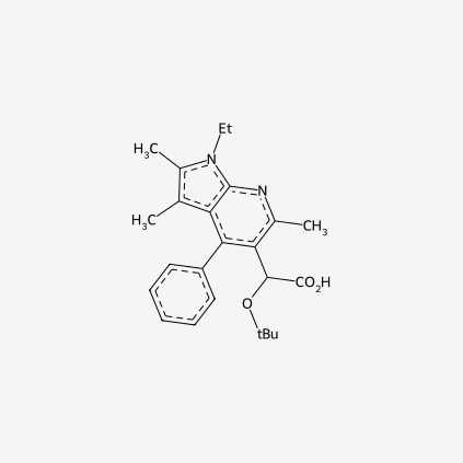 CCn1c(C)c(C)c2c(-c3ccccc3)c(C(OC(C)(C)C)C(=O)O)c(C)nc21